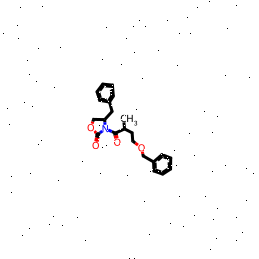 CC(CCOCc1ccccc1)C(=O)N1C(=O)OCC1Cc1ccccc1